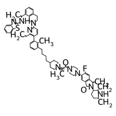 C=Cc1nc(N2CCc3cccc(C(=C)Nc4nc5ccccc5s4)c3C2)ccc1-c1cccc(CCCCC2CCN([C@H](C)C(=O)N3CCN(c4cc5c(cc4F)C(=C)N(C4CCC(=C)NC4=C)C5=O)CC3)CC2)c1C